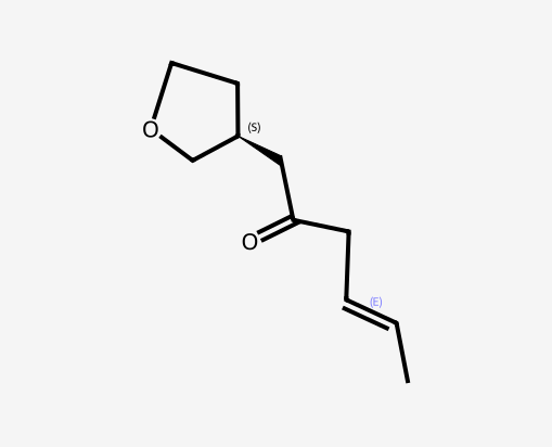 C/C=C/CC(=O)C[C@@H]1CCOC1